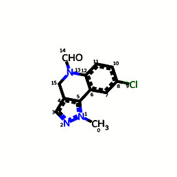 Cn1ncc2c1-c1cc(Cl)ccc1N(C=O)C2